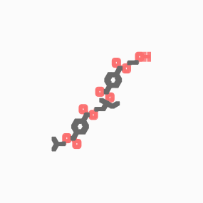 CCC(C)(CCOC(=O)c1ccc(C(=O)OCC(C)C)cc1)OC(=O)c1ccc(C(=O)OCCO)cc1